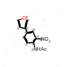 CC(=O)Nc1ccc(-c2ccoc2)cc1[N+](=O)[O-]